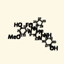 COc1cc(O)c(F)c(N2Cc3cnc(NC4CCC(O)CC4)nc3N(C3CCCC3)C2=O)c1